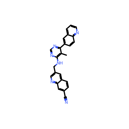 Cc1c(NCc2cnc3cc(C#N)ccc3c2)ncnc1-c1ccc2ncccc2c1